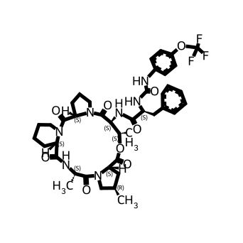 C[C@@H]1C[C@H]2C(=O)O[C@@H](C)[C@H](NC(=O)[C@H](Cc3ccccc3)NC(=O)Nc3ccc(OC(F)(F)F)cc3)C(=O)N3CCC[C@H]3C(=O)N3CCCC[C@H]3C(=O)N[C@@H](C)C(=O)N2C1